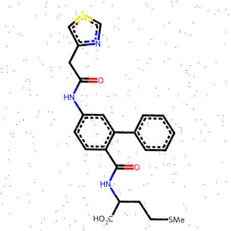 CSCCC(NC(=O)c1ccc(NC(=O)Cc2cscn2)cc1-c1ccccc1)C(=O)O